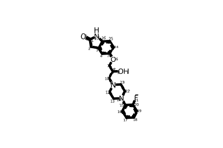 O=C1Cc2cc(OCC(O)CN3CCN(c4ccccc4F)CC3)ccc2N1